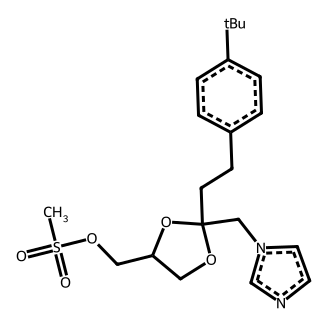 CC(C)(C)c1ccc(CCC2(Cn3ccnc3)OCC(COS(C)(=O)=O)O2)cc1